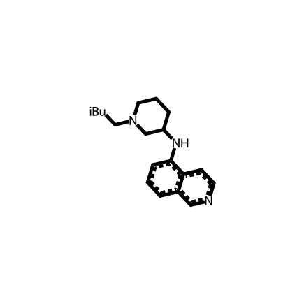 CCC(C)CN1CCCC(Nc2cccc3cnccc23)C1